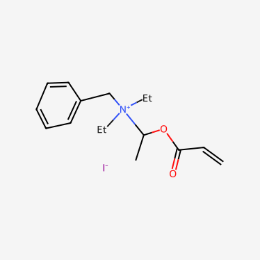 C=CC(=O)OC(C)[N+](CC)(CC)Cc1ccccc1.[I-]